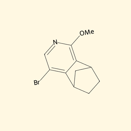 COc1ncc(Br)c2c1C1CCC2C1